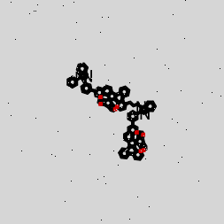 c1ccc(-n2c(-c3cccc(-c4ccc5c6c(ccc5c4)-c4c(c5cccc(CCCn7c(-c8cccc(-c9ccc%10c%11c(ccc%10c9)-c9c(c%10ccccc%10c%10ccccc9%10)C%119c%10ccccc%10-c%10ccccc%109)c8)nc8ccccc87)c5c5ccccc45)C64c5ccccc5-c5ccccc54)c3)nc3ccccc32)cc1